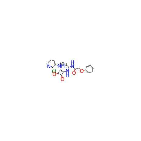 CC(C)(C)C(NC(=O)COc1ccccc1)Nc1c(Nc2cccnc2Cl)c(=O)c1=O